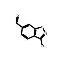 Cc1noc2cc(C=O)ccc12